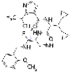 COc1ncccc1CN/C(F)=C(\C=N)NC(=O)C(NC(=O)c1ccnn1C(C)C)C(C1CC1)C1CC1